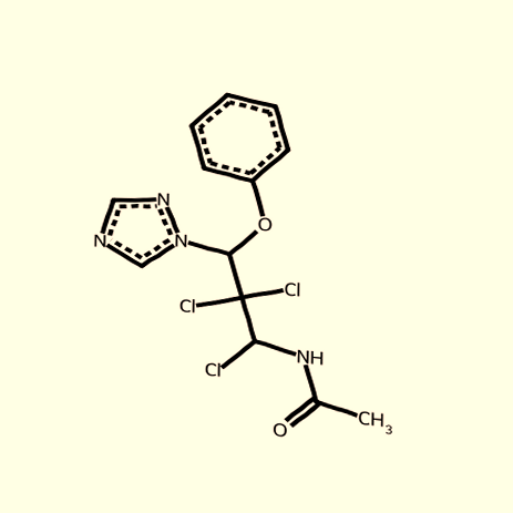 CC(=O)NC(Cl)C(Cl)(Cl)C(Oc1ccccc1)n1cncn1